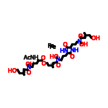 CC(=O)NC(CCCN(O)C(=O)/C=C(\C)CCO)C(=O)OCC/C(C)=C/C(=O)N(O)CCCC1NC(=O)C(CCCN(O)C(=O)/C=C(\C)CCO)NC1=O.[Fe].[Fe]